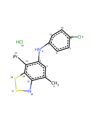 Cc1cc(Nc2ccc(Cl)cc2)c(C(C)C)c2c1[N]SS2.Cl